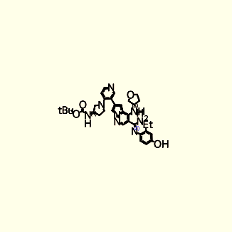 CCc1cc(O)ccc1/N=C(\N)c1cnn2cc(-c3cnccc3N3CC[C@@H](NC(=O)OC(C)(C)C)C3)cc2c1N[C@H]1CCOC1